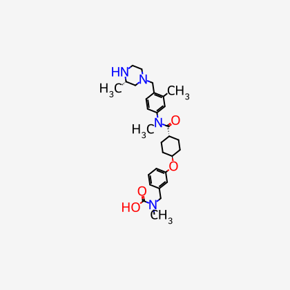 Cc1cc(N(C)C(=O)[C@H]2CC[C@H](Oc3cccc(CN(C)C(=O)O)c3)CC2)ccc1CN1CCN[C@@H](C)C1